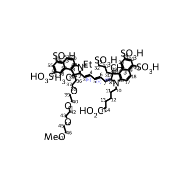 CC[N+]1=C(/C=C/C=C/C=C2/N(CCCCCC(=O)O)c3ccc4c(S(=O)(=O)O)cc(S(=O)(=O)O)cc4c3C2(C)CCCS(=O)(=O)O)C(C)(CCOCCOCCOCCOC)c2c1ccc1c(S(=O)(=O)O)cc(S(=O)(=O)O)cc21